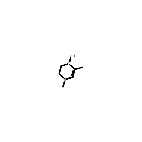 CC1=CN(C)CCN1O